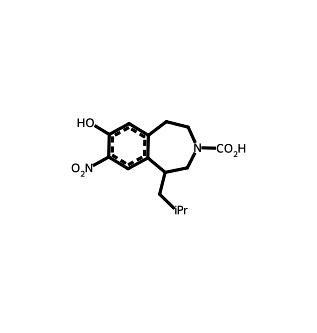 CC(C)CC1CN(C(=O)O)CCc2cc(O)c([N+](=O)[O-])cc21